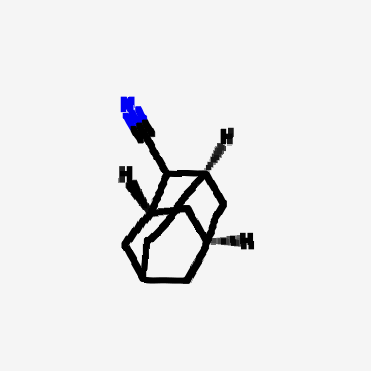 N#CC1[C@H]2CC3C[C@@H](C2)C[C@H]1C3